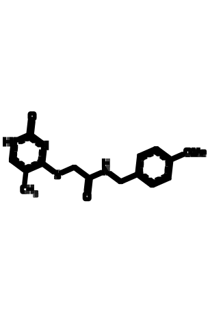 COc1ccc(CNC(=O)CSc2nc(=O)[nH]cc2C)cc1